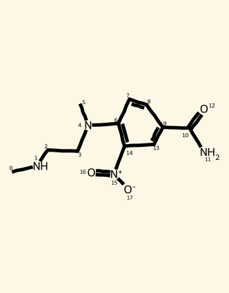 CNCCN(C)c1ccc(C(N)=O)cc1[N+](=O)[O-]